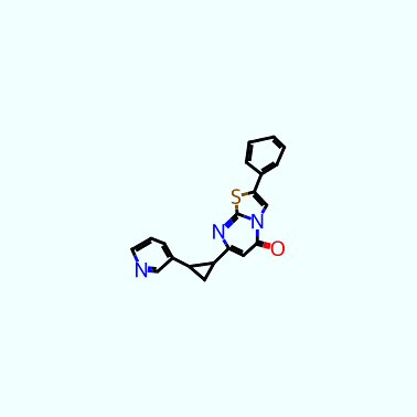 O=c1cc(C2CC2c2cccnc2)nc2sc(-c3ccccc3)cn12